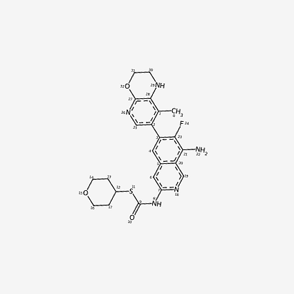 Cc1c(-c2cc3cc(NC(=O)SC4CCOCC4)ncc3c(N)c2F)cnc2c1NCCO2